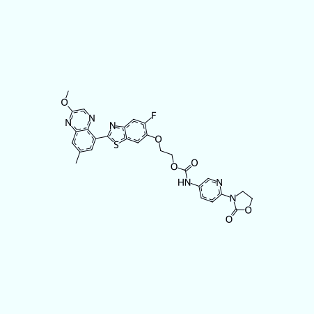 COc1cnc2c(-c3nc4cc(F)c(OCCOC(=O)Nc5ccc(N6CCOC6=O)nc5)cc4s3)cc(C)cc2n1